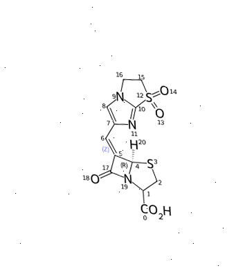 O=C(O)C1CS[C@@H]2/C(=C\c3cn4c(n3)S(=O)(=O)CC4)C(=O)N12